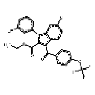 CCOC(=O)c1c(C(=O)c2ccc(OC(F)(F)F)cc2)c2ccc(Cl)cc2n1-c1cccc(Cl)c1